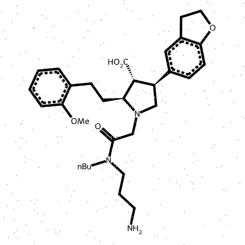 CCCCN(CCCN)C(=O)CN1C[C@H](c2ccc3c(c2)CCO3)[C@@H](C(=O)O)[C@@H]1CCc1ccccc1OC